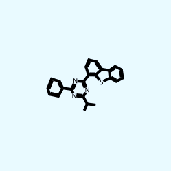 CC(C)c1nc(-c2ccccc2)nc(-c2cccc3c2sc2ccccc23)n1